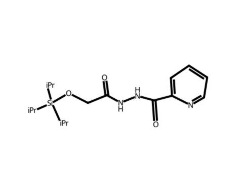 CC(C)[Si](OCC(=O)NNC(=O)c1ccccn1)(C(C)C)C(C)C